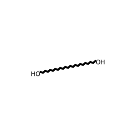 OCCCCCCCCCCCCCCCCCCCCCCCO